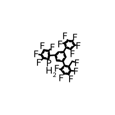 FCc1c(F)c(F)c(F)c(F)c1-c1cc(-c2c(F)c(F)c(F)c(F)c2F)cc(-c2c(F)c(F)c(F)c(F)c2P)c1